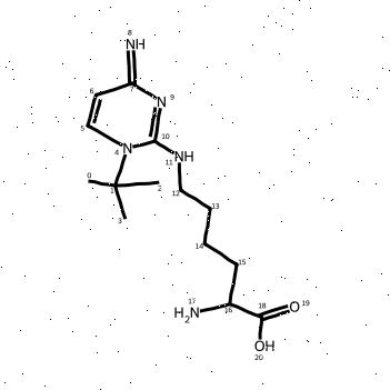 CC(C)(C)n1ccc(=N)nc1NCCCCC(N)C(=O)O